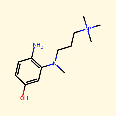 CN(CCC[N+](C)(C)C)c1cc(O)ccc1N